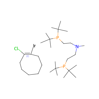 CN(CCP(C(C)(C)C)C(C)(C)C)CCP(C(C)(C)C)C(C)(C)C.Cl/C1=[C](\[Ir])CCCCCC1